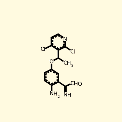 CC(Oc1ccc(N)c(C(=N)C=O)c1)c1c(Cl)ccnc1Cl